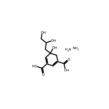 N.N.O=C(O)C1=CC(O)(CC(O)CO)CC(C(=O)O)=C1